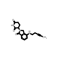 CC#CCCNc1cccc2c1CN(C1CCC(=O)NC1=O)C2=O